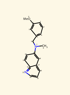 COc1cccc(CN(C)c2ccc3ncccc3c2)c1